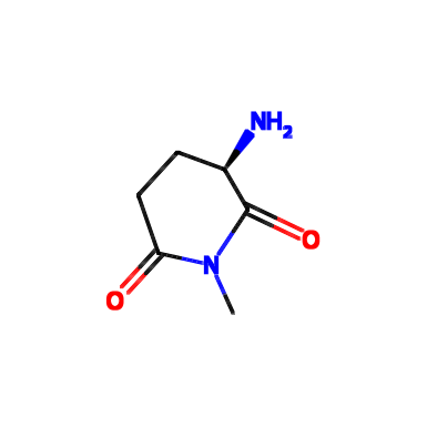 CN1C(=O)CC[C@@H](N)C1=O